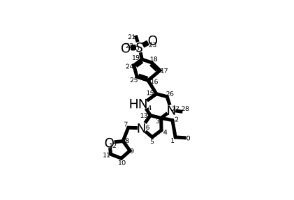 CCCC12CCN(CC3CCCO3)C1NC(c1ccc(S(C)(=O)=O)cc1)CN2C